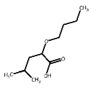 CCCCOC(CC(C)C)C(=O)O